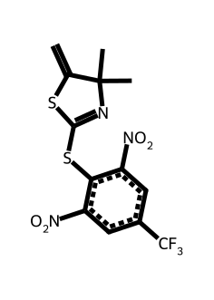 C=C1SC(Sc2c([N+](=O)[O-])cc(C(F)(F)F)cc2[N+](=O)[O-])=NC1(C)C